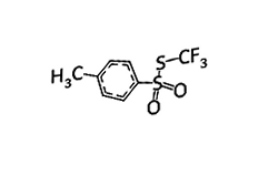 Cc1ccc(S(=O)(=O)SC(F)(F)F)cc1